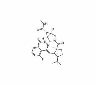 C=C/N=N\C(=C/C1[C@H](C(C)C)CC[C@]1(C)C(=O)N1C[C@@H]2[C@H](C1)[C@H]2C(=O)NC)c1c(F)cccc1F